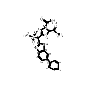 CCCS(=O)(=O)C(C1=NN(C(N)=O)C(C(N)=O)O1)c1nc2ccc(-c3ccccc3)cc2s1